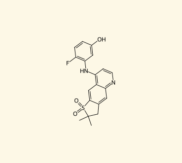 CC1(C)Cc2cc3nccc(Nc4cc(O)ccc4F)c3cc2S1(=O)=O